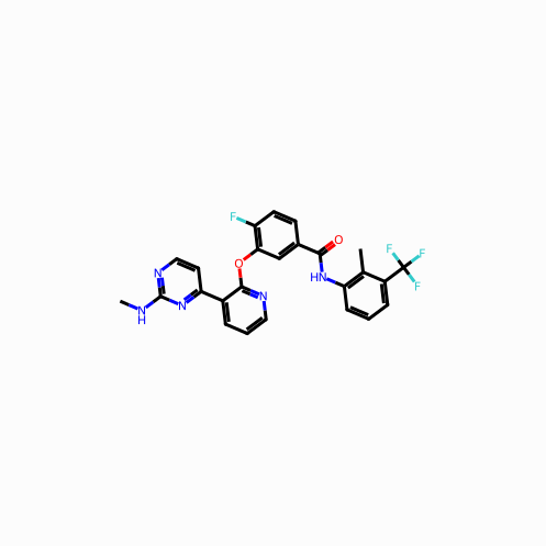 CNc1nccc(-c2cccnc2Oc2cc(C(=O)Nc3cccc(C(F)(F)F)c3C)ccc2F)n1